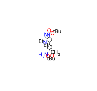 CCN(CC)c1c(-c2ccc(C(C)(CN)C(=O)OC(C)(C)C)cc2)ccc2c1cnn2C(=O)OC(C)(C)C